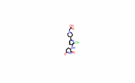 Cl.O=C(O)CN1CCC(c2ccc(NC3CCC(=O)NC3=O)cn2)CC1